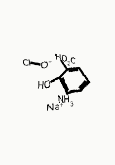 N.O=C(O)c1ccccc1O.[Na+].[O-]Cl